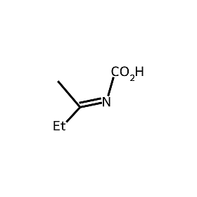 CC/C(C)=N/C(=O)O